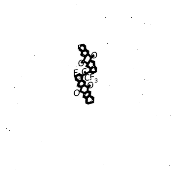 O=C1c2cc3ccccc3cc2C(=O)c2cc3c(C(c4cccc5cc6c(cc45)C(=O)c4cc5ccccc5cc4C6=O)(C(F)(F)F)C(F)(F)F)cccc3cc21